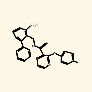 O=C(NCc1c(C(=O)O)cccc1-c1ccccc1)c1cccnc1Oc1ccc(F)cc1